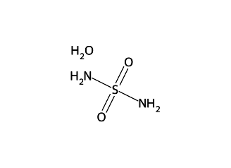 NS(N)(=O)=O.O